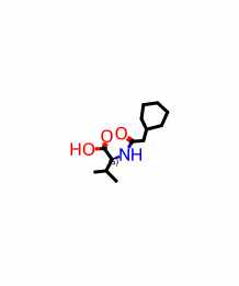 CC(C)[C@H](NC(=O)CC1CCCCC1)C(=O)O